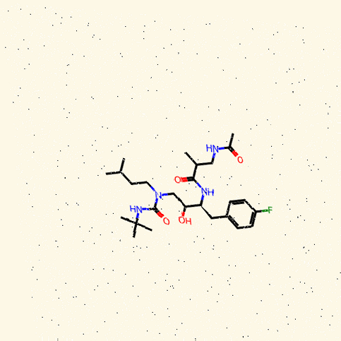 CC(=O)NCC(C)C(=O)N[C@@H](Cc1ccc(F)cc1)C(O)CN(CCC(C)C)C(=O)NC(C)(C)C